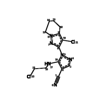 N#Cc1cnn(-c2nn3c(c2Cl)CCCC3)c1NCCCl